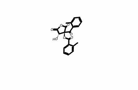 Cc1ccccc1C(=O)O[C@]1(C(=O)c2ccccc2C)C(=O)OC(=O)[C@H]1O